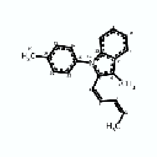 C/C=C\C=C/c1c(C)c2ccccc2n1-c1ccc(C)cc1